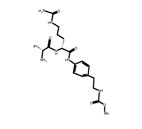 CC(C)[C@@H](N)C(=O)N[C@H](CCCNC(N)=O)C(=O)Nc1ccc(CCNC(=O)OC(C)(C)C)cc1